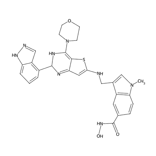 Cn1cc(CNc2cc3c(s2)=C(N2CCOCC2)NC(c2cccc4[nH]ncc24)N=3)c2cc(C(=O)NO)ccc21